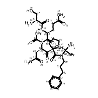 CCCC(=O)N(C(=O)[C@H](CCC(N)=O)NC(=O)[C@@H](N)CO)[C@@H](CC(N)=O)C(=O)[C@@]1(C(=O)N(CCCc2ccccc2)[C@](N)([C]=O)C(C)C)CCCN1